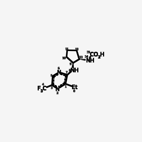 CCc1nc(C(F)(F)F)cnc1N[C@H]1CCC[C@@H]1NC(=O)O